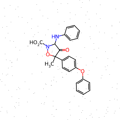 CC1(c2ccc(Oc3ccccc3)cc2)ON(C(=O)O)C(Nc2ccccc2)C1=O